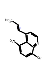 O=C(O)/C=C/c1ccnc2c(O)ccc([N+](=O)[O-])c12